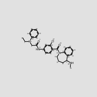 CCN(CC(=O)Nc1ccc(C(=O)N2CCCC(NC)c3ccccc32)c(Cl)c1)c1ccccc1